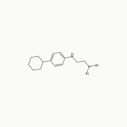 CCN(CC)CCNc1ccc(C2CCCCC2)cc1